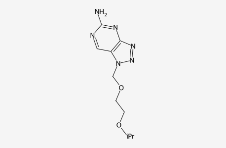 CC(C)OCCOCn1nnc2nc(N)ncc21